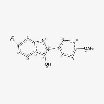 COc1ccc(-n2nc3cc(Cl)ccc3c2O)cc1